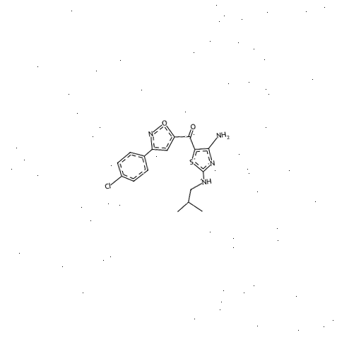 CC(C)CNc1nc(N)c(C(=O)c2cc(-c3ccc(Cl)cc3)no2)s1